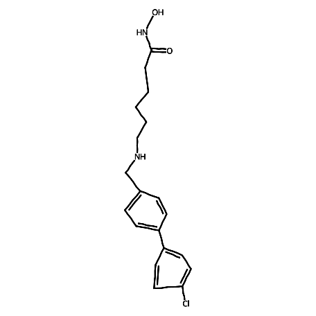 O=C(CCCCCNCc1ccc(-c2ccc(Cl)cc2)cc1)NO